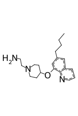 CCCCc1cc(OC2CCN(CCN)CC2)c2ncccc2c1